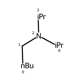 CCCCCN(C(C)C)C(C)C